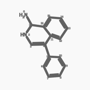 NC1NC=C(c2ccccc2)c2ccccc21